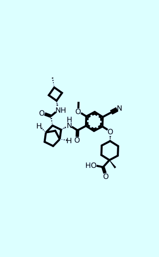 COc1cc(C#N)c(O[C@H]2CC[C@@](C)(C(=O)O)CC2)cc1C(=O)N[C@@H]1[C@H]2CC[C@H](C2)[C@@H]1C(=O)N[C@H]1C[C@@H](C)C1